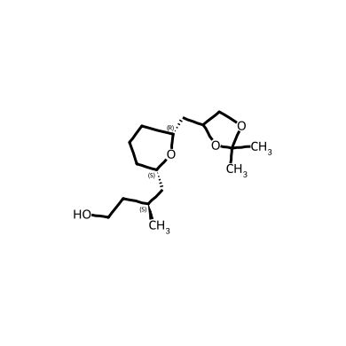 C[C@@H](CCO)C[C@@H]1CCC[C@H](CC2COC(C)(C)O2)O1